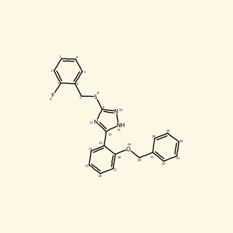 Fc1ccccc1CSc1n[nH]c(-c2ccccc2OCc2ccccc2)n1